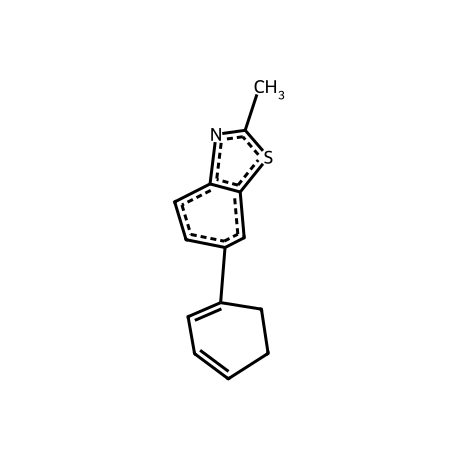 Cc1nc2ccc(C3=CC=CCC3)cc2s1